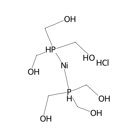 Cl.OC[PH](CO)(CO)[Ni][PH](CO)(CO)CO